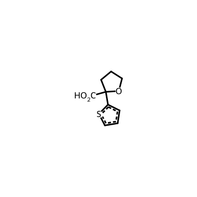 O=C(O)C1(c2cccs2)CCCO1